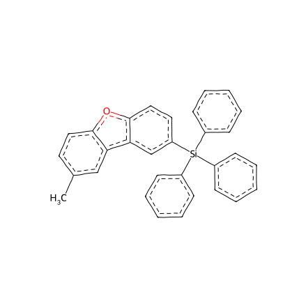 Cc1ccc2oc3ccc([Si](c4ccccc4)(c4ccccc4)c4ccccc4)cc3c2c1